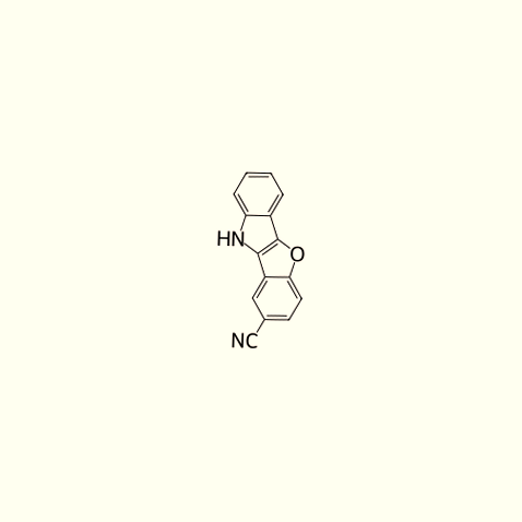 N#Cc1ccc2oc3c4ccccc4[nH]c3c2c1